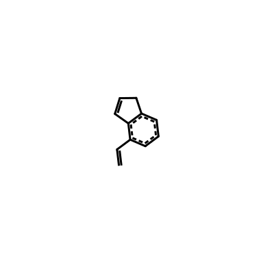 C=Cc1cccc2c1C=CC2